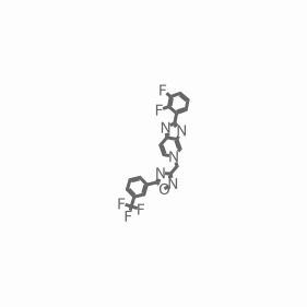 Fc1cccc(-c2nc3ccn(Cc4noc(-c5cccc(C(F)(F)F)c5)n4)cc-3n2)c1F